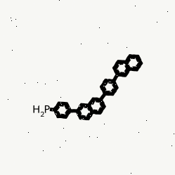 Pc1ccc(-c2ccc3ccc(-c4ccc(-c5ccc6ccccc6c5)cc4)cc3c2)cc1